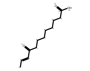 C/C=C/C(=O)CCCCCCCC(=O)O